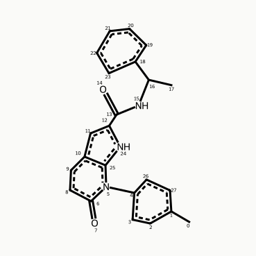 Cc1ccc(-n2c(=O)ccc3cc(C(=O)NC(C)c4ccccc4)[nH]c32)cc1